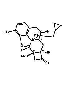 CC[C@@]12C[C@]3(C)[C@H]4Cc5ccc(O)c6c5[C@@]3(CCN4CC3CC3)[C@@H](O6)[C@@]1(OC)CC2=O